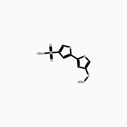 CCCCCCCCCCSc1csc(-c2cc(S(=O)(=O)CCCCCCCCCC)cs2)c1